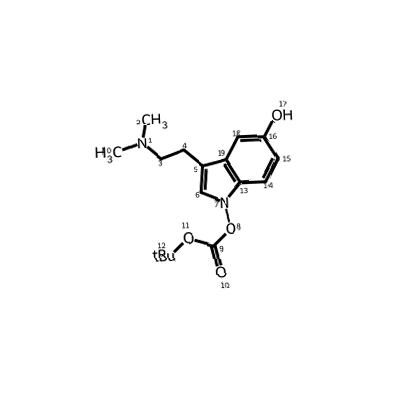 CN(C)CCc1cn(OC(=O)OC(C)(C)C)c2ccc(O)cc12